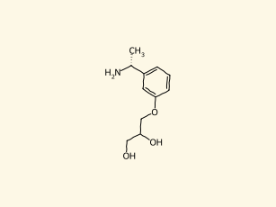 C[C@@H](N)c1cccc(OCC(O)CO)c1